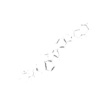 O=C(Nc1ccc2c(c1)C(F)(F)c1cc(-c3ccc4[nH]c([C@@H]5C[C@@H]6CCCCC6N5)nc4c3)ccc1-2)[C@@H]1C[C@@H]2CCCC[C@@H]2N1